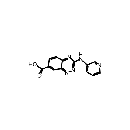 O=C(O)c1ccc2nc(Nc3cccnc3)nnc2c1